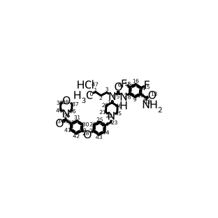 CCCCN(C(=O)Nc1cc(C(N)=O)c(F)cc1F)C1CCN(Cc2ccc(Oc3ccc(C(=O)N4CCOCC4)cc3)cc2)CC1.Cl